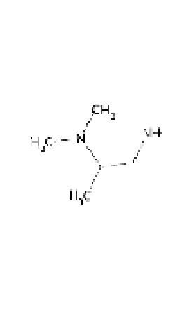 CC(C[NH])N(C)C